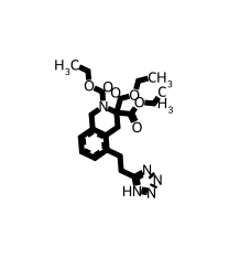 CCOC(=O)N1Cc2cccc(CCc3nnn[nH]3)c2CC1(C(=O)OCC)C(=O)OCC